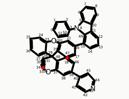 c1ccc(-n2c3ccccc3c3cccc(-c4ccc5c(c4)Oc4ccccc4C54c5ccccc5Oc5cc(-c6ccncc6)ccc54)c32)cc1